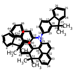 CC1(C)c2ccccc2-c2ccc(N(c3ccc4c(c3)C(C)(C)c3ccccc3-4)c3ccc4cccc5c4c3-c3cc(-c4ccccc4)ccc3C5(C)C)cc21